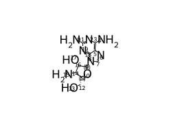 Nc1nc(N)c2ncn([C@@H]3O[C@H](CO)C(N)C3O)c2n1